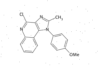 COc1ccc(-n2c(C)nc3c(Cl)nc4ccccc4c32)cc1